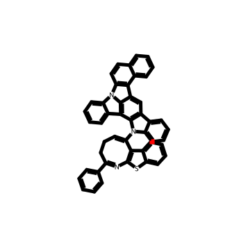 C1=C(/n2c3ccccc3c3cc4c5c6ccccc6ccc5n5c6ccccc6c(c32)c45)c2c(sc3ccccc23)/N=C(/c2ccccc2)CC/1